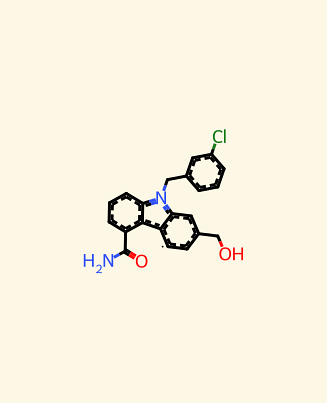 NC(=O)c1cccc2c1c1[c]cc(CO)cc1n2Cc1cccc(Cl)c1